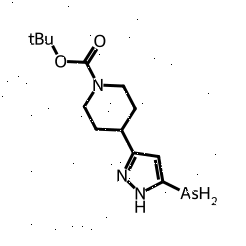 CC(C)(C)OC(=O)N1CCC(c2cc([AsH2])[nH]n2)CC1